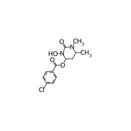 CC1CC(OC(=O)c2ccc(Cl)cc2)N(O)C(=O)N1C